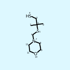 CC(C)(CS)SCN1CCOCC1